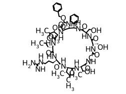 CCC[C@@H]1NC(=O)[C@H]([C@H](O)C(C)C)NC(=O)[C@@H](NC(=O)OCc2ccccc2)[C@@H](c2ccccc2)NC(=O)C(CO)NC(=O)[C@H](CO)NC(=O)CNC(=O)[C@H]([C@H](C)O)NC(=O)[C@H]([C@@H](C)CC)NC(=O)[C@@H](CCCNC(=N)N)NC1=O